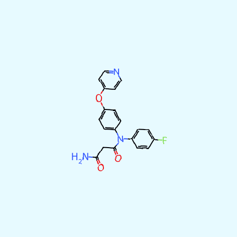 NC(=O)CC(=O)N(c1ccc(F)cc1)c1ccc(Oc2ccncc2)cc1